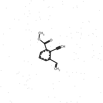 C#Cc1c([C]=C)cccc1C(=O)OC